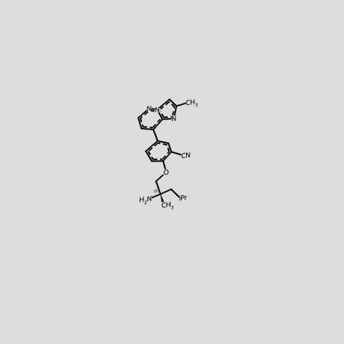 Cc1cn2nccc(-c3ccc(OC[C@@](C)(N)CC(C)C)c(C#N)c3)c2n1